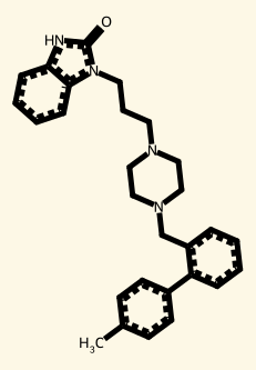 Cc1ccc(-c2ccccc2CN2CCN(CCCn3c(=O)[nH]c4ccccc43)CC2)cc1